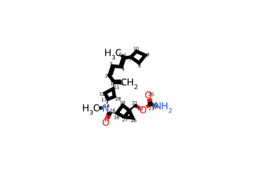 C=C(/C=C\C=C(/C)C1CCC1)[C@H]1C[C@@H](N(C)C(=O)[C@@H]2C[C@]3(COC(N)=O)CC23)C1